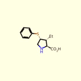 CC[C@H]1[C@@H](Sc2ccccc2)CN[C@@H]1C(=O)O